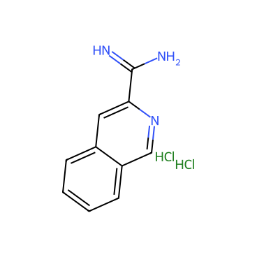 Cl.Cl.N=C(N)c1cc2ccccc2cn1